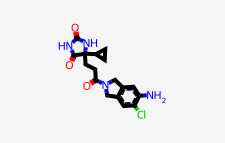 Nc1cc2c(cc1Cl)CN(C(=O)CCC1(C3CC3)NC(=O)NC1=O)C2